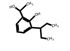 CCC(CC)c1cccc(C(C)O)c1O